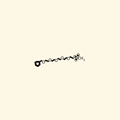 CS(=O)(=O)OCCOCCOCCOCCOCCOCc1ccccc1